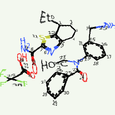 CCC1CCCc2nc(C(N)=O)sc21.NCc1cccc(N(CC(=O)O)C(=O)c2ccccc2)c1.O=C(O)C(F)(F)F